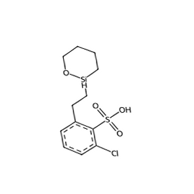 O=S(=O)(O)c1c(Cl)cccc1CC[SiH]1CCCCO1